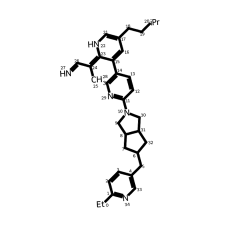 CCc1ccc(CC2CC3CN(c4ccc(C5=CC(CCC(C)C)=CN/C5=C(/C)C=N)cn4)CC3C2)cn1